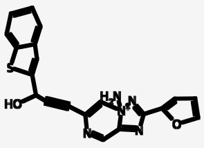 N[N+]12C=C(C#CC(O)c3cc4ccccc4s3)N=CC1=NC(c1ccco1)=N2